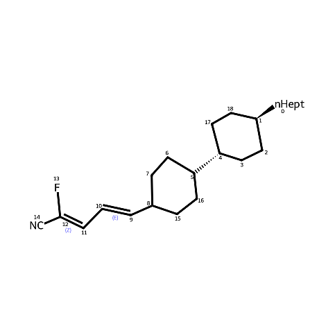 CCCCCCC[C@H]1CC[C@H](C2CCC(/C=C/C=C(\F)C#N)CC2)CC1